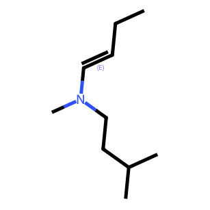 CC/C=C/N(C)CCC(C)C